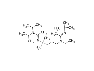 CCN(CCCC(C)(C)/N=C(\C)N(C(C)C)C(C)C)/C(C)=N/C(C)(C)C